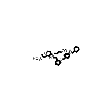 CCCC1C(CC(C)C(=O)O)OCCC1N(CCCCC(=O)O)CCc1ccccc1OCc1ccc(OCC2CCCCC2)cc1